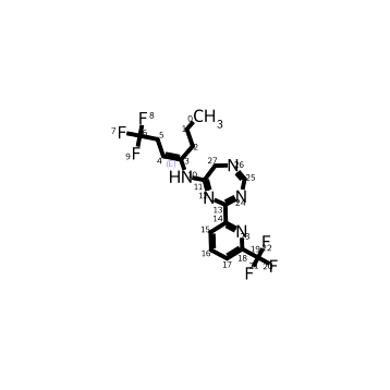 CCC/C(=C\CC(F)(F)F)NC1=NC(c2cccc(C(F)(F)F)n2)=NC=NC1